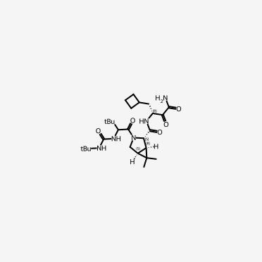 CC(C)(C)NC(=O)NC(C(=O)N1C[C@H]2[C@@H]([C@H]1C(=O)N[C@H](CC1CCC1)C(=O)C(N)=O)C2(C)C)C(C)(C)C